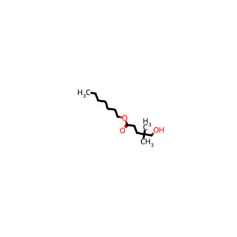 CCCCCCCOC(=O)CCC(C)(C)CO